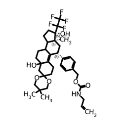 C=CCNC(=O)OCc1ccc([C@H]2C[C@@]3(C)C(CC[C@@]3(O)C(F)(F)C(F)(F)F)C3CCC4(O)CC5(CCC4=C32)OCC(C)(C)CO5)cc1